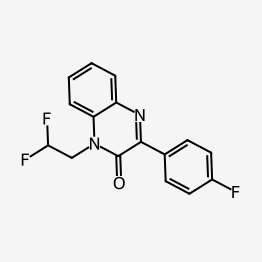 O=c1c(-c2ccc(F)cc2)nc2ccccc2n1CC(F)F